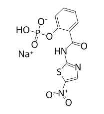 O=C(Nc1ncc([N+](=O)[O-])s1)c1ccccc1OP(=O)([O-])O.[Na+]